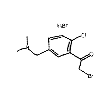 Br.CN(C)Cc1ccc(Cl)c(C(=O)CBr)c1